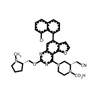 CN1CCC[C@H]1COc1nc(N2CCN(C(=O)O)[C@@H](CC#N)C2)c2c(cc(-c3cccc4cccc(Cl)c34)c3ccoc32)n1